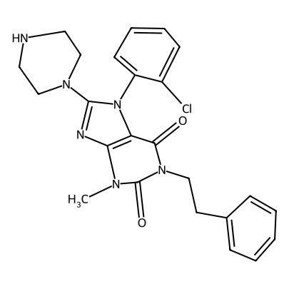 Cn1c(=O)n(CCc2ccccc2)c(=O)c2c1nc(N1CCNCC1)n2-c1ccccc1Cl